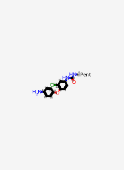 CCCCCNC(=O)Nc1ccc(Oc2ccc(N)cc2)c(Cl)c1